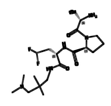 CN(C)CC(C)(C)CNC(=O)[C@H](CC(F)F)NC(=O)[C@@H]1CCCN1C(=O)[C@@H](N)C(C)(C)C